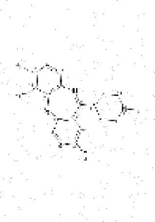 CN1CCN(C2=Nc3ccc(F)c(F)c3Oc3ccc(F)cc32)CC1